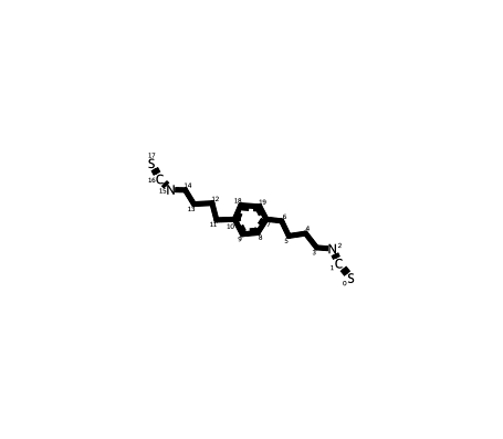 S=C=NCCCCc1ccc(CCCCN=C=S)cc1